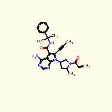 C=CC(=O)N1CC(n2c(C#CC)c(C(=O)NC(C)(C)c3ccccc3)c3c(N)ncnc32)CC1C